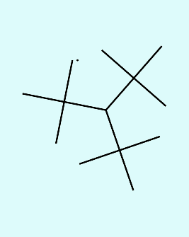 [CH2]C(C)(C)C(C(C)(C)C)C(C)(C)C